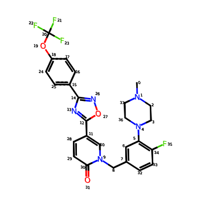 CN1CCN(c2cc(Cn3cc(-c4nc(-c5ccc(OC(F)(F)F)cc5)no4)ccc3=O)ccc2F)CC1